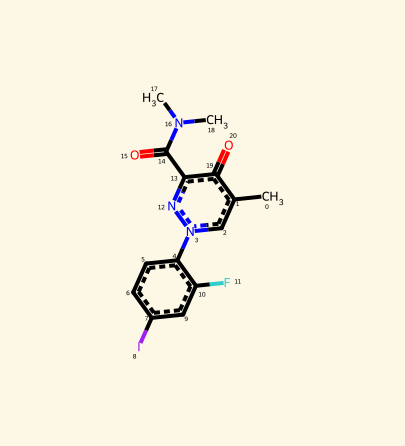 Cc1cn(-c2ccc(I)cc2F)nc(C(=O)N(C)C)c1=O